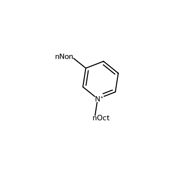 CCCCCCCCCc1ccc[n+](CCCCCCCC)c1